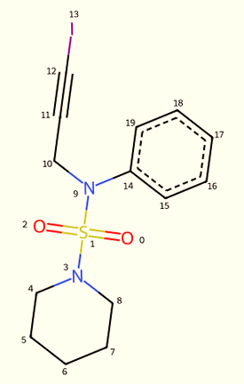 O=S(=O)(N1CCCCC1)N(CC#CI)c1ccccc1